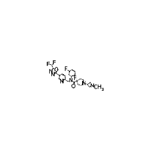 CN1CC(N2CCC(F)(C(=O)N(Cc3ccc(-c4nnc(C(F)F)o4)cn3)c3cccc(F)c3)CC2)C1